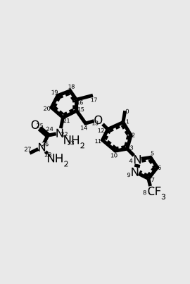 Cc1cc(-n2ccc(C(F)(F)F)n2)ccc1OCc1c(C)cccc1N(N)C(=O)N(C)N